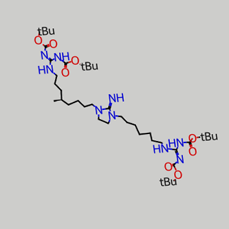 C[C@H](CCCCN1CCN(CCCCCCCN/C(=N\C(=O)OC(C)(C)C)NC(=O)OC(C)(C)C)C1=N)CCCN/C(=N/C(=O)OC(C)(C)C)NC(=O)OC(C)(C)C